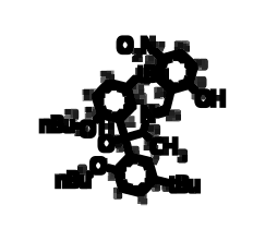 CCCCOc1ccc(C(C)(C)C)cc1C(O)(c1cc(C(C)(C)C)ccc1OCCCC)[C@H](C)N=Cc1cc([N+](=O)[O-])ccc1O